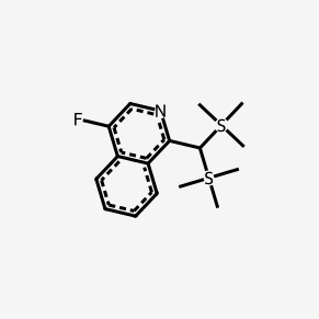 CS(C)(C)C(c1ncc(F)c2ccccc12)S(C)(C)C